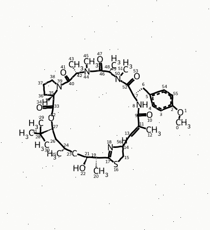 COc1ccc(C[C@@H]2NC(=O)/C(C)=C/[C@H]3CSC(=N3)[C@H](C)[C@@H](O)C[C@H](C)C[C@@H](C(C)(C)C)OC(=O)[C@@H]3CCCN3C(=O)[C@H](C)N(C)C(=O)[C@H](C)N(C)C2=O)cc1